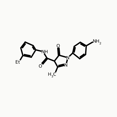 CCc1cccc(NC(=O)C2C(=O)N(c3ccc(N)cc3)N=C2C)c1